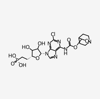 O=C(Nc1nc(Cl)nc2c1ncn2[C@@H]1O[C@H](CCP(=O)(O)O)C(O)C1O)OC1CN2CCC1CC2